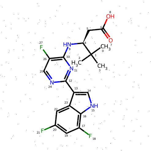 CC(C)(C)[C@H](CC(=O)O)Nc1nc(-c2c[nH]c3c(F)cc(F)cc23)ncc1F